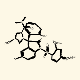 COc1ccc(S(=O)(=O)N2C(=O)C(c3ccccc3OC)(N3C[C@@H](O)C[C@H]3C(=O)N(C)C)c3cc(Cl)ccc32)c(OC)c1